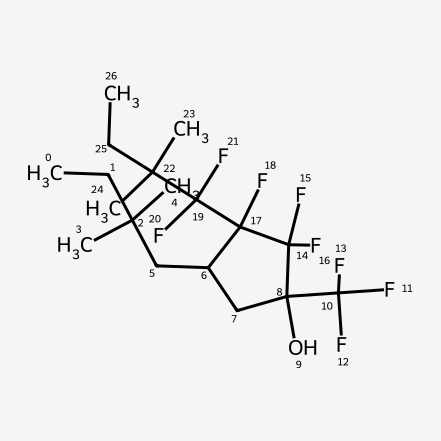 CCC(C)(C)CC1CC(O)(C(F)(F)F)C(F)(F)C1(F)C(F)(F)C(C)(C)CC